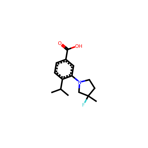 CC(C)c1ccc(C(=O)O)cc1N1CCC(C)(F)C1